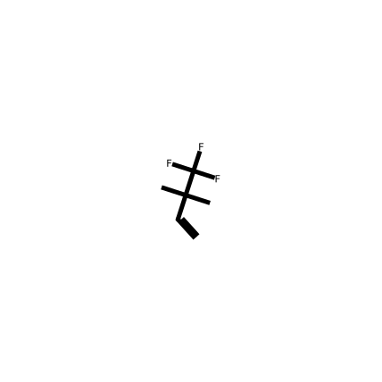 C=CC(C)(C)C(F)(F)F